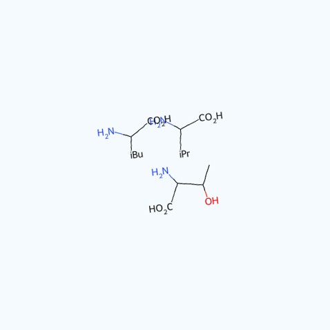 CC(C)C(N)C(=O)O.CC(O)C(N)C(=O)O.CCC(C)C(N)C(=O)O